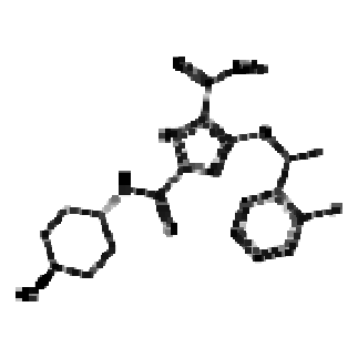 CNC(=O)c1[nH]c(C(=O)N[C@H]2CC[C@H](O)CC2)cc1OC(C)c1ccccc1F